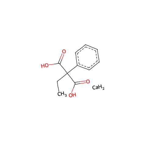 CCC(C(=O)O)(C(=O)O)c1ccccc1.[CaH2]